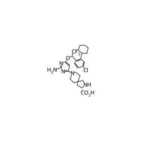 Nc1nc(O[C@H](c2ccc(Cl)cc2C2CCCCC2)C(F)(F)F)cc(N2CCC3(CC2)CN[C@H](C(=O)O)C3)n1